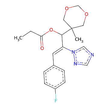 CCC(=O)OC(C(=Cc1ccc(F)cc1)n1cncn1)C1(C)COCOC1